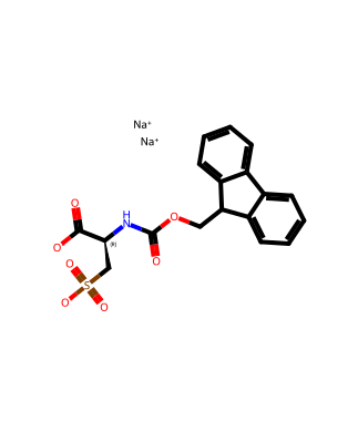 O=C(N[C@@H](CS(=O)(=O)[O-])C(=O)[O-])OCC1c2ccccc2-c2ccccc21.[Na+].[Na+]